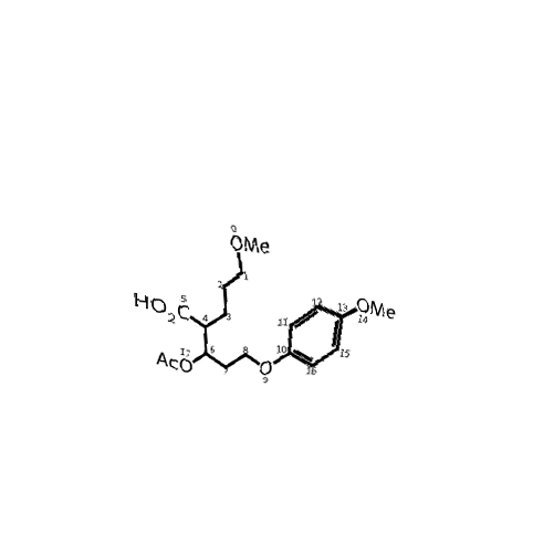 COCCCC(C(=O)O)C(CCOc1ccc(OC)cc1)OC(C)=O